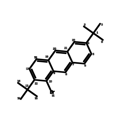 CC(C)(C)c1ccc2cc3c(Br)c(C(C)(C)C)ccc3cc2c1